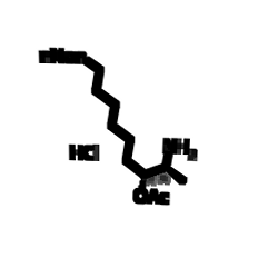 CCCCCCCCCCCCCCC[C@@H](OC(C)=O)[C@H](C)N.Cl